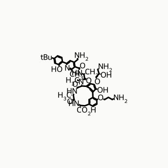 Cc1nc(-c2ccc(C(C)(C)C)cc2O)cc(CN)c1C(=O)N[C@@H](C)C(=O)N(C)[C@@H]1C(=O)N[C@@H](C)C(=O)N[C@H](C(=O)O)Cc2ccc(OCCCN)c(c2)-c2cc1cc(OC[C@H](O)CN)c2O